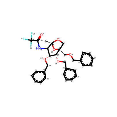 O=C(N[C@H]1[C@H]2OC[C@](COCc3ccccc3)(O2)[C@H](OCc2ccccc2)[C@@H]1OCc1ccccc1)C(F)(F)F